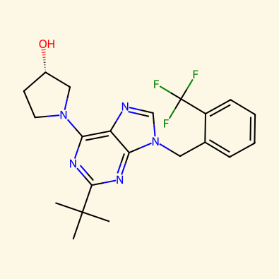 CC(C)(C)c1nc(N2CC[C@H](O)C2)c2ncn(Cc3ccccc3C(F)(F)F)c2n1